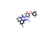 C=C(CN1CCC(Oc2ccccc2)CC1)N1CCCc2cc(C)cc(N)c21